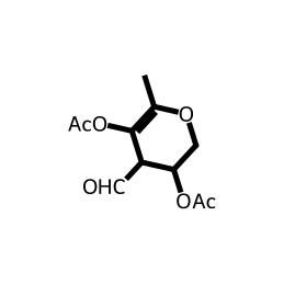 CC(=O)OC1=C(C)OCC(OC(C)=O)C1C=O